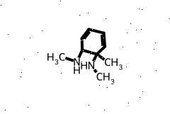 CNC1C=CC=CC1(C)NC